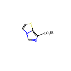 CCOC(=O)c1ncn2ccsc12